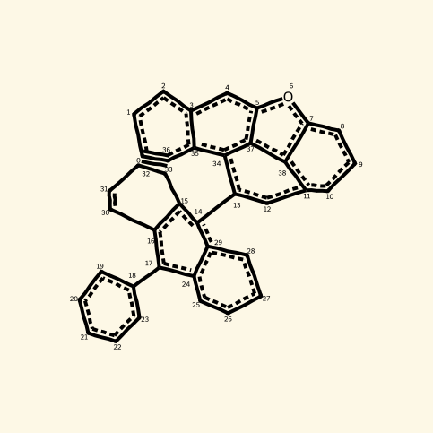 c1ccc2cc3oc4cccc5cc(-c6c7c(c(-c8ccccc8)c8ccccc68)C=CCC7)c(c2c#1)c3c54